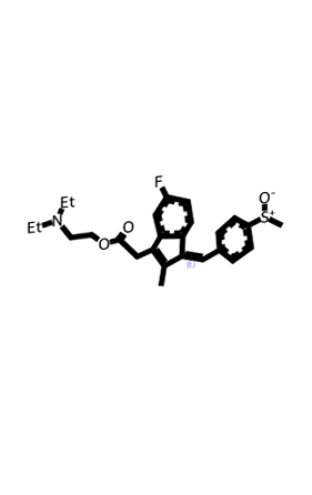 CCN(CC)CCOC(=O)CC1=C(C)/C(=C/c2ccc([S+](C)[O-])cc2)c2ccc(F)cc21